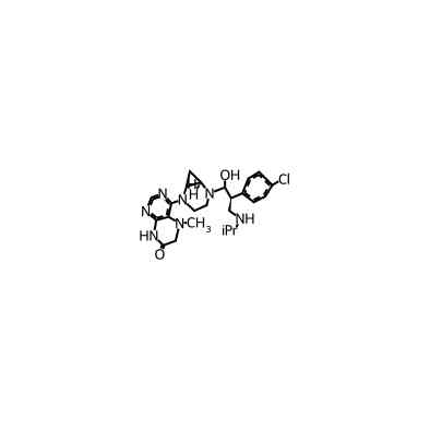 CC(C)NC[C@H](c1ccc(Cl)cc1)C(O)N1CCN(c2ncnc3c2N(C)CC(=O)N3)[C@@H]2C[C@@H]21